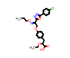 CCCON=C(COc1ccc(CC(OCC)C(=O)O)cc1)c1nnc(-c2ccc(Cl)cc2)o1